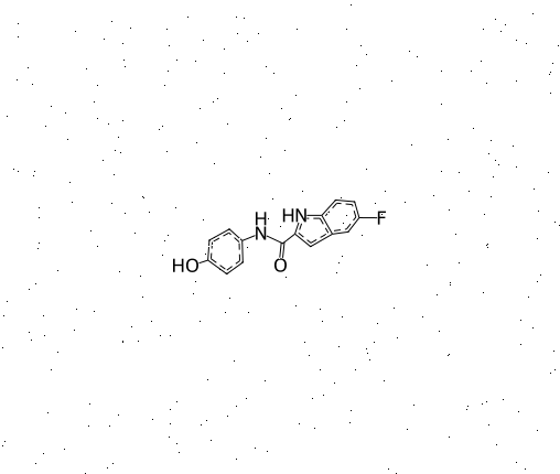 O=C(Nc1ccc(O)cc1)c1cc2cc(F)ccc2[nH]1